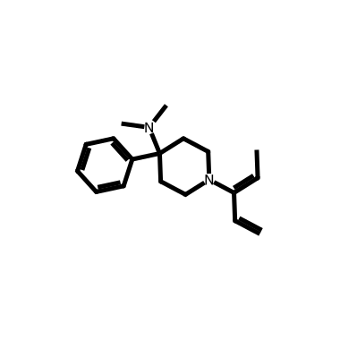 C=C/C(=C/C)N1CCC(c2ccccc2)(N(C)C)CC1